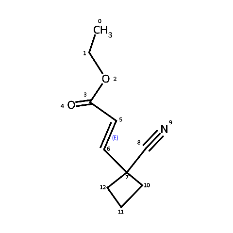 CCOC(=O)/C=C/C1(C#N)CCC1